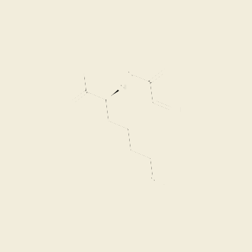 C=CC(N)=O.NCCCC[C@H](N)C(=O)O